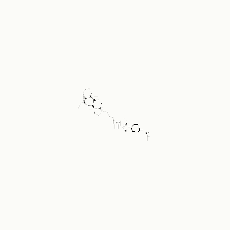 CC[C@H]1C[C@H]2C3CCC(CCCNC(=O)NS(=O)(=O)c4ccc(OC(F)(F)F)cc4)[C@@]3(C)CC[C@@H]2[C@@]2(C)CCCC[C@@H]12